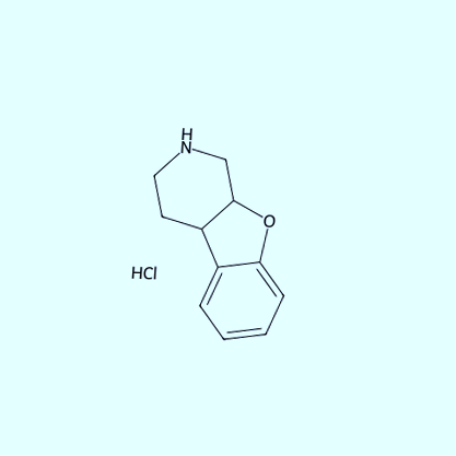 Cl.c1ccc2c(c1)OC1CNCCC21